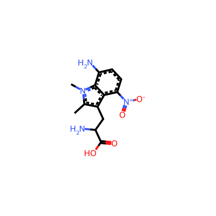 Cc1c(CC(N)C(=O)O)c2c([N+](=O)[O-])ccc(N)c2n1C